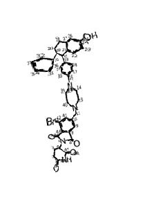 O=C1CCC(N2C(=O)c3cc(CN4CCN(c5ccc([C@@H]6c7ccc(O)cc7CC[C@@H]6c6ccccc6)cc5)CC4)cc(Br)c3C2=O)C(=O)N1